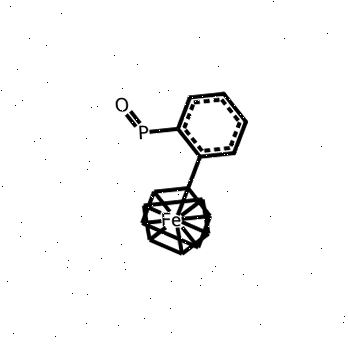 O=Pc1ccccc1[C]12[CH]3[CH]4[CH]5[CH]1[Fe]45321678[CH]2[CH]1[CH]6[CH]7[CH]28